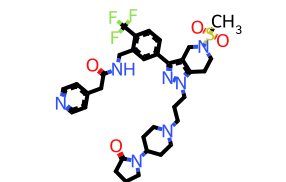 CS(=O)(=O)N1CCc2c(c(-c3ccc(C(F)(F)F)c(CNC(=O)Cc4ccncc4)c3)nn2CCCN2CCC(N3CCCC3=O)CC2)C1